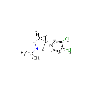 CC(C)N1C[C@@H]2C[C@@]2(c2ccc(Cl)c(Cl)c2)C1